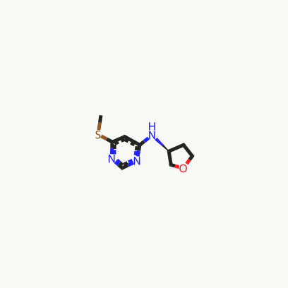 CSc1cc(N[C@H]2CCOC2)ncn1